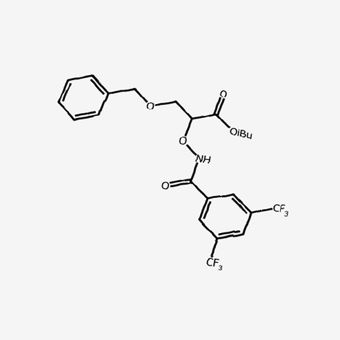 CC(C)COC(=O)C(COCc1ccccc1)ONC(=O)c1cc(C(F)(F)F)cc(C(F)(F)F)c1